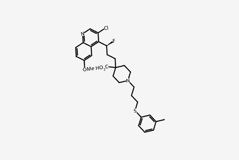 COc1ccc2ncc(Cl)c([C@@H](F)CCC3(C(=O)O)CCN(CCCSc4cccc(C)c4)CC3)c2c1